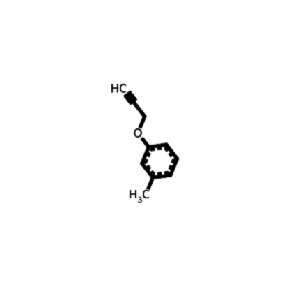 C#CCOc1cccc(C)c1